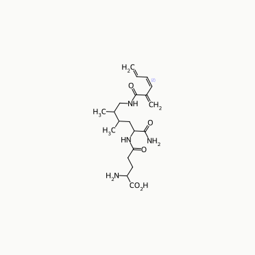 C=C/C=C\C(=C)C(=O)NCC(C)C(C)CC(NC(=O)CCC(N)C(=O)O)C(N)=O